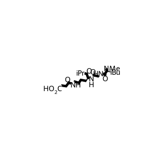 CC[C@H](C)C(NC)C(=O)NCC(=O)N[C@@H](CCCCNC(=O)CCC(=O)O)C(=O)C(C)C